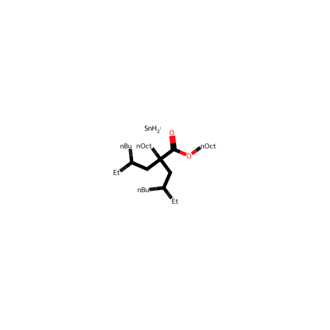 CCCCCCCCOC(=O)C(CCCCCCCC)(CC(CC)CCCC)CC(CC)CCCC.[SnH2]